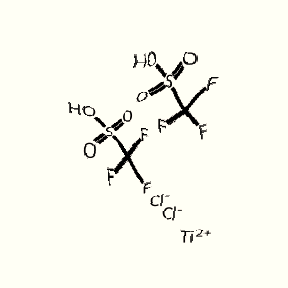 O=S(=O)(O)C(F)(F)F.O=S(=O)(O)C(F)(F)F.[Cl-].[Cl-].[Ti+2]